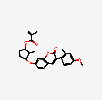 C=C(C)C(=O)OC1CCC(Oc2ccc3cc(-c4ccc(OC)cc4C)c(=O)oc3c2)C1C